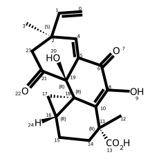 C=C[C@@]1(C)C=C2C(=O)C(O)=C3[C@](C)(C(=O)O)CC[C@@H]4C[C@]34[C@]2(O)C(=O)C1